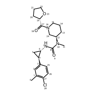 Cc1cc([C@H]2C[C@@H]2NC(=O)N(C)[C@@H]2CCCN(C(=O)[C@@H]3CCCO3)C2)ccc1Cl